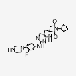 O=C1CC2(Cc3cnc(Nc4ccc(N5CCNCC5)c(F)c4)nc3N2)C(=O)N1C1CCCC1